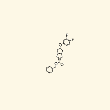 O=C(OCc1ccccc1)N1CC2CC(Oc3ccc(F)c(F)c3)CC2C1